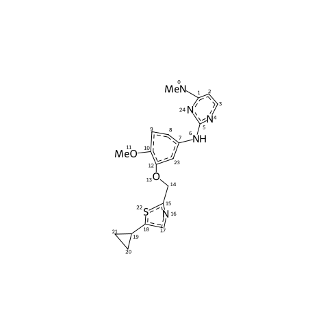 CNc1ccnc(Nc2ccc(OC)c(OCc3ncc(C4CC4)s3)c2)n1